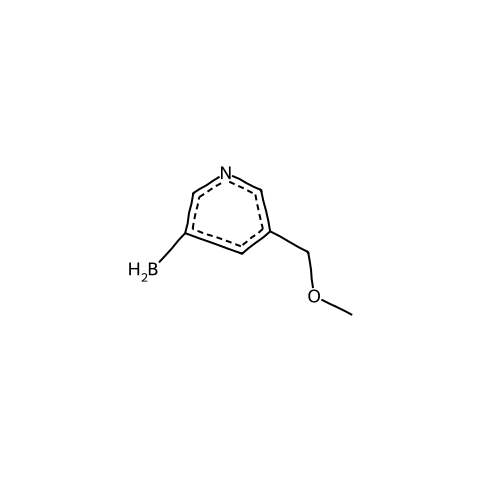 Bc1cncc(COC)c1